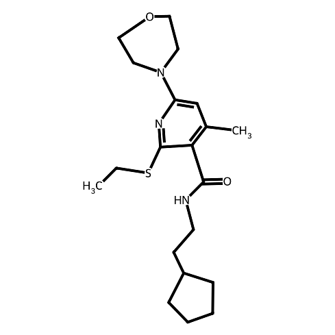 CCSc1nc(N2CCOCC2)cc(C)c1C(=O)NCCC1CCCC1